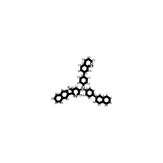 c1ccc2cc(-c3ccc(N(c4ccc(-c5ccc6cccnc6c5)cc4)c4cnc5c(c4)sc4cc6ccccc6cc45)cc3)ccc2c1